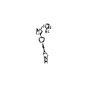 CCc1nccn1Cc1cc(-c2ccc(C#CC3C4CNCC34)cc2)on1